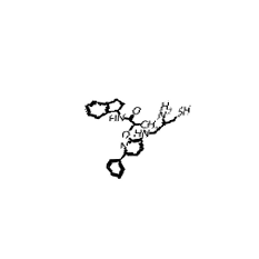 CC(Oc1nc(-c2ccccc2)ccc1NCC(N)CS)C(=O)NC1CCc2ccccc21